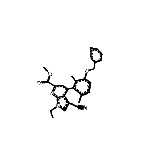 CCn1cc(C#N)c2c(-c3c(C)ccc(OCc4ccccc4)c3C)cc(C(=O)OC)nc21